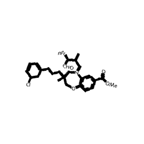 CCCC(C=O)C(C)CN1CC(C)(CCCC2=CC=CC(Cl)C2)COc2ccc(C(=O)OC)cc21